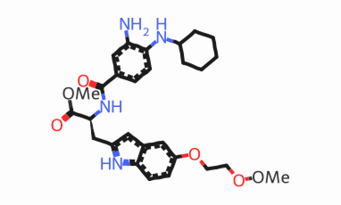 COOCCOc1ccc2[nH]c(C[C@H](NC(=O)c3ccc(NC4CCCCC4)c(N)c3)C(=O)OC)cc2c1